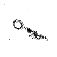 C/C1=C/C(C)(CCCCn2cc(CCC(=O)NC3(C)CC(C)(N)CCCC3(C)N)nn2)CCCCCCCCC/C=C\C1